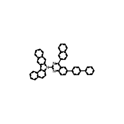 c1ccc(-c2ccc(-c3ccc4nc(-n5c6cc7ccccc7cc6c6c7ccccc7ccc65)nc(-c5ccc6ccccc6c5)c4c3)cc2)cc1